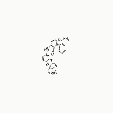 NC(=O)c1ccccc1NC(=O)C(C=O)Nc1ccc(Oc2ccnc3[nH]ccc23)c(F)c1